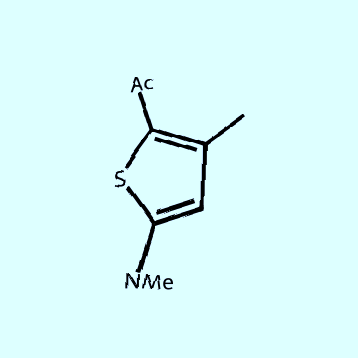 CNc1cc(C)c(C(C)=O)s1